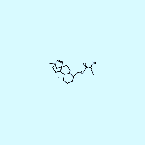 C[C@]12C=C[C@@]3(CCC4[C@@](C)(COC(=O)C(=O)O)CCC[C@@]4(C)C3CC1)C2